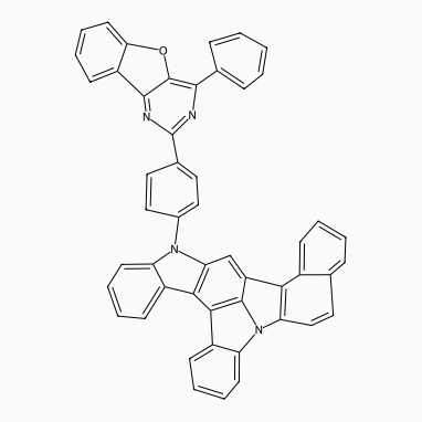 c1ccc(-c2nc(-c3ccc(-n4c5ccccc5c5c6c7ccccc7n7c8ccc9ccccc9c8c(cc54)c67)cc3)nc3c2oc2ccccc23)cc1